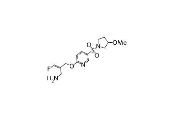 COC1CCN(S(=O)(=O)c2ccc(OC/C(=C/F)CN)nc2)C1